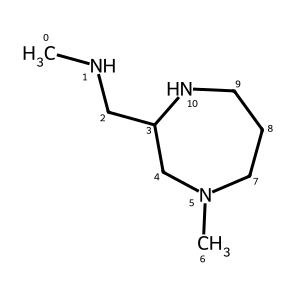 CNCC1CN(C)CCCN1